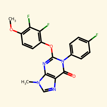 COc1ccc(Oc2nc3c(ncn3C)c(=O)n2-c2ccc(F)cc2)c(F)c1F